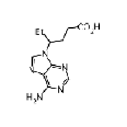 CCC(CCC(=O)O)n1cnc2c(N)ncnc21